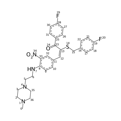 CN1CCN(CCNc2ccc(/C=C(/SCc3ccc(F)cc3)C(=O)c3ccc(F)cc3)cc2[N+](=O)[O-])CC1